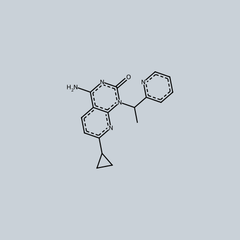 CC(c1ccccn1)n1c(=O)nc(N)c2ccc(C3CC3)nc21